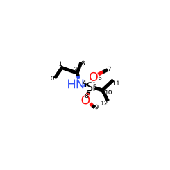 CCC(C)N[Si](OC)(OC)C(C)C